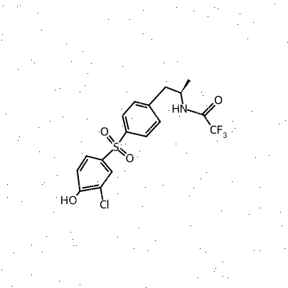 C[C@H](Cc1ccc(S(=O)(=O)c2ccc(O)c(Cl)c2)cc1)NC(=O)C(F)(F)F